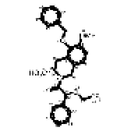 COc1ccc2c(c1OCc1ccccc1)C[C@@H](C(=O)O)N(C(=O)[C@@H](OCC(F)(F)F)c1ccccc1)C2